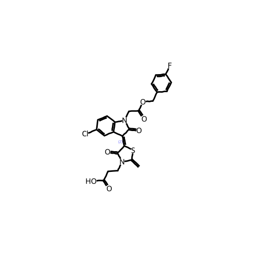 C=c1s/c(=C2\C(=O)N(CC(=O)OCc3ccc(F)cc3)c3ccc(Cl)cc32)c(=O)n1CCC(=O)O